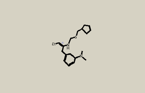 CC/C=C(\CC1=CC=CC(N(C)C)C1)NCSCC1CCCC1